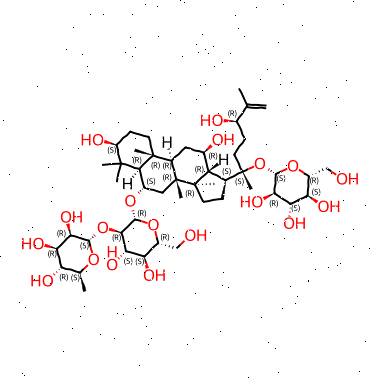 C=C(C)[C@H](O)CC[C@](C)(O[C@@H]1O[C@H](CO)[C@@H](O)[C@H](O)[C@H]1O)[C@H]1CC[C@]2(C)[C@@H]1[C@H](O)C[C@@H]1[C@@]3(C)CC[C@H](O)C(C)(C)[C@@H]3[C@@H](O[C@@H]3O[C@H](CO)[C@@H](O)[C@H](O)[C@H]3O[C@@H]3O[C@@H](C)[C@H](O)[C@@H](O)[C@H]3O)C[C@]12C